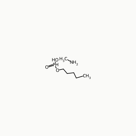 CCCCCO[PH](=O)O.CN